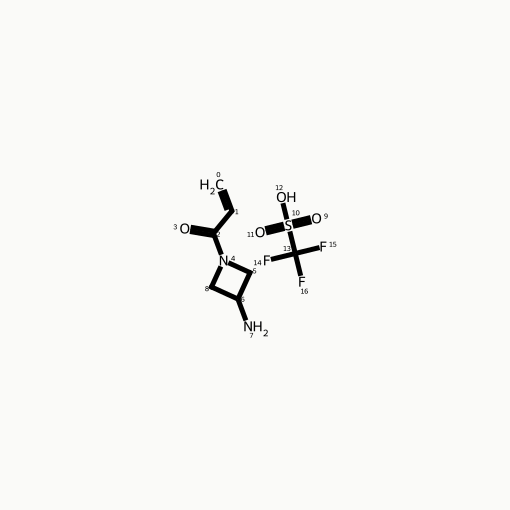 C=CC(=O)N1CC(N)C1.O=S(=O)(O)C(F)(F)F